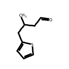 CC(CC=O)Cc1cccs1